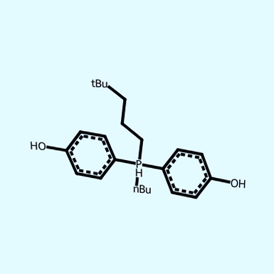 CCCC[PH](CCCC(C)(C)C)(c1ccc(O)cc1)c1ccc(O)cc1